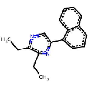 CCc1ncc(-c2cccc3ccccc23)nc1CC